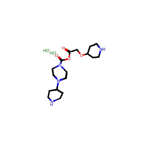 Cl.Cl.O=C(COC1CCNCC1)OC(=O)N1CCN(C2CCNCC2)CC1